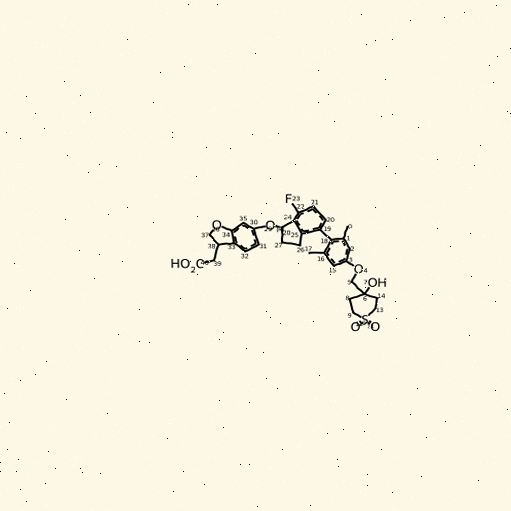 Cc1cc(OCC2(O)CCS(=O)(=O)CC2)cc(C)c1-c1ccc(F)c2c1CC[C@H]2Oc1ccc2c(c1)OCC2CC(=O)O